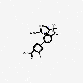 C=C(/C=C\C(=C/N)[C@@](O)([C@@H](C)c1ccc(-c2ccc(C(=O)OC)c(F)c2)cc1Cl)C(F)(F)F)OC